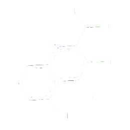 Cc1cccc2nc(C(Cl)Cl)c(Cl)c(Cl)c12